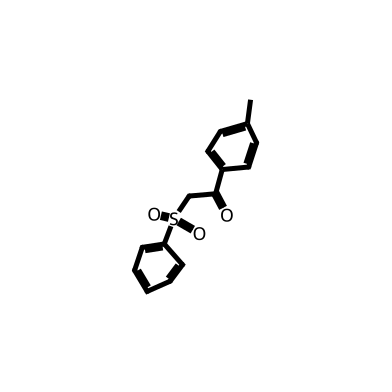 Cc1ccc(C(=O)CS(=O)(=O)c2ccccc2)cc1